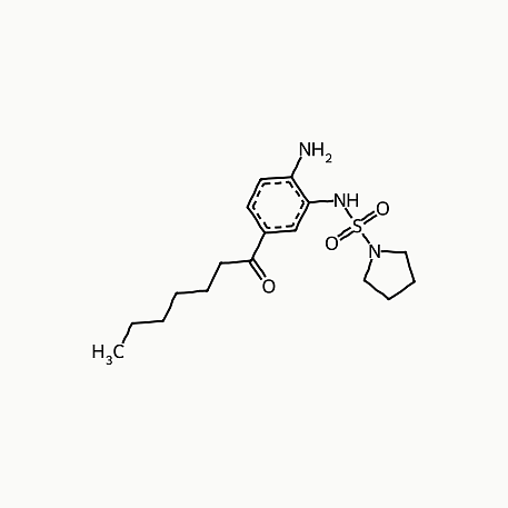 CCCCCCC(=O)c1ccc(N)c(NS(=O)(=O)N2CCCC2)c1